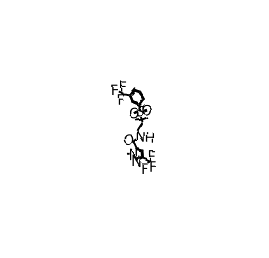 Cn1nc(C(F)(F)F)cc1C(=O)NCCC(C)(C)S(=O)(=O)c1cccc(C(F)(F)F)c1